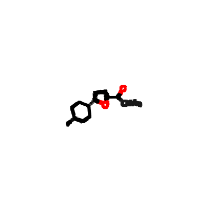 COC(=O)c1ccc([C@H]2CC[C@H](C)CC2)o1